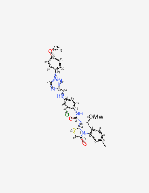 COCc1ccc(C)cc1N1C(=O)CSC1=NC(=O)Nc1ccc(NCc2ncn(-c3ccc(OC(F)(F)F)cc3)n2)cc1Cl